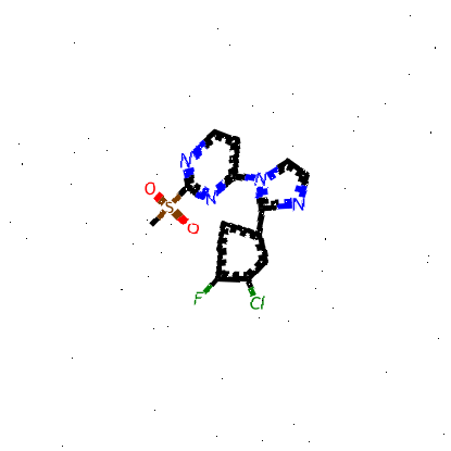 CS(=O)(=O)c1nccc(-n2ccnc2-c2ccc(F)c(Cl)c2)n1